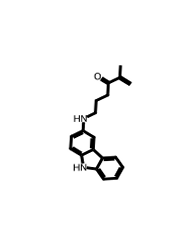 C=C(C)C(=O)CCCNc1ccc2[nH]c3ccccc3c2c1